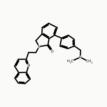 CN(C)Cc1ccc(-c2cccc3c2C(=O)N(CCc2ccc4ccccc4n2)C3)cc1